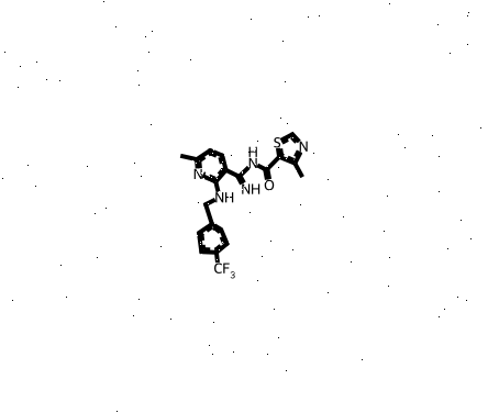 Cc1ccc(C(=N)NC(=O)c2scnc2C)c(NCc2ccc(C(F)(F)F)cc2)n1